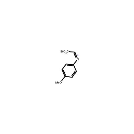 CCOC(=O)/C=N\c1ccc(OC)cc1